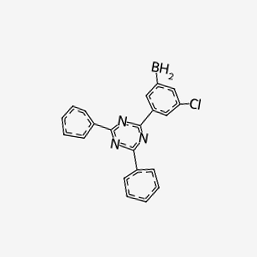 Bc1cc(Cl)cc(-c2nc(-c3ccccc3)nc(-c3ccccc3)n2)c1